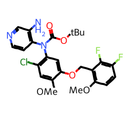 COc1cc(Cl)c(N(C(=O)OC(C)(C)C)c2ccncc2N)cc1OCc1c(OC)ccc(F)c1F